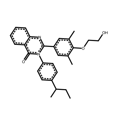 CCC(C)c1ccc(-n2c(-c3cc(C)c(OCCO)c(C)c3)nc3ccccc3c2=O)cc1